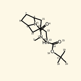 CN(C)C(=O)N1C2CCC1CC(CNC(=O)OC(C)(C)C)C2